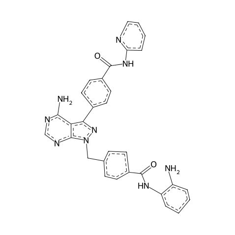 Nc1ccccc1NC(=O)c1ccc(Cn2nc(-c3ccc(C(=O)Nc4ccccn4)cc3)c3c(N)ncnc32)cc1